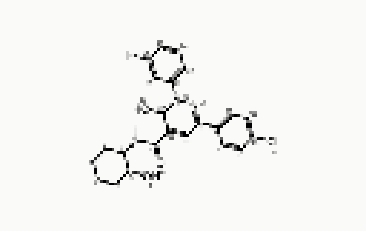 O=C(N[C@@H]1CCCC[C@@H]1O)C1=CC(c2ccc(Cl)cc2)=NN(c2cccc(F)c2)C1O